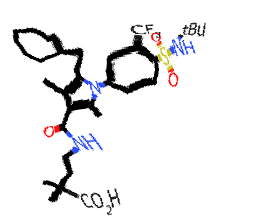 Cc1c(C(=O)NCCC(C)(C)C(=O)O)c(C)n(-c2ccc(S(=O)(=O)NC(C)(C)C)c(C(F)(F)F)c2)c1CC1CCCCC1